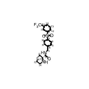 O=C(NCc1ccc(S(=O)(=O)c2cccc(C(F)(F)F)c2)cc1)[C@H]1CCCCN1